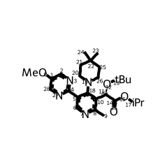 COc1cnc(-c2cnc(C)c([C@H](OC(C)(C)C)C(=O)OC(C)C)c2N2CCC(C)(C)CC2)nc1